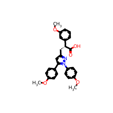 COc1ccc(-c2cc(C[C@@H](C(=O)O)c3cccc(OC)c3)nn2-c2ccc(OC)cc2)cc1